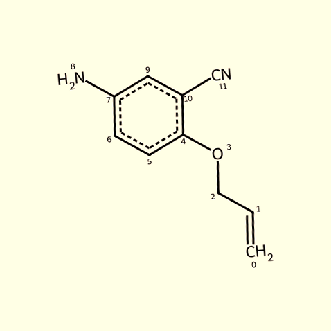 C=CCOc1ccc(N)cc1C#N